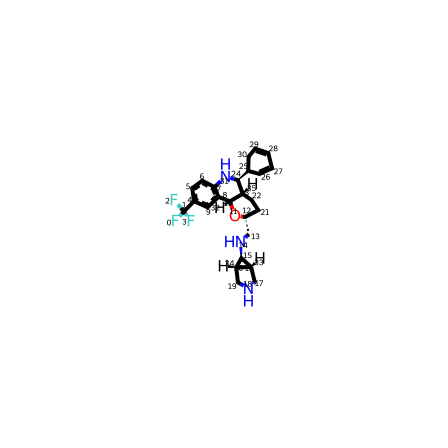 FC(F)(F)c1ccc2c(c1)[C@H]1O[C@@H](CN[C@H]3[C@@H]4CNC[C@@H]43)CC[C@H]1[C@H](C1C=CC=CC1)N2